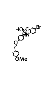 COc1ccc(CCOc2ccc(C(=O)Nc3ccc(Br)cc3C(=O)O)cc2)cc1